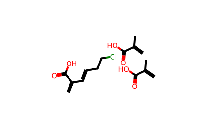 C=C(C)C(=O)O.C=C(C)C(=O)O.C=C(C=CCCCl)C(=O)O